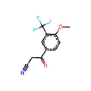 COc1ccc(C(=O)CC#N)cc1C(F)(F)F